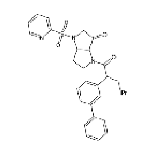 CC(C)CC(C(=O)N1CCC2C1C(=O)CN2S(=O)(=O)c1ccccn1)c1cccc(-c2ccccc2)c1